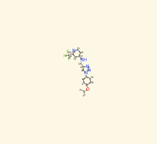 CC(C)Oc1ccc(-n2cc(CNc3ccnc(C(F)(F)F)c3)nn2)cc1